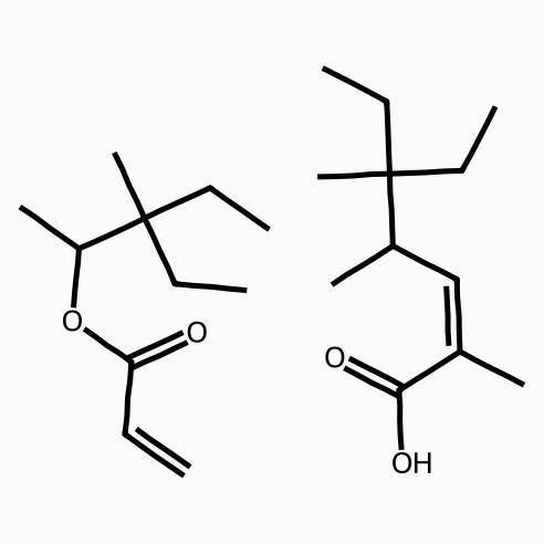 C=CC(=O)OC(C)C(C)(CC)CC.CCC(C)(CC)C(C)C=C(C)C(=O)O